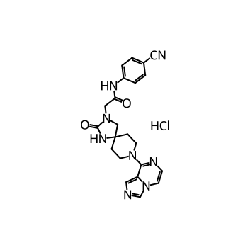 Cl.N#Cc1ccc(NC(=O)CN2CC3(CCN(c4nccn5cncc45)CC3)NC2=O)cc1